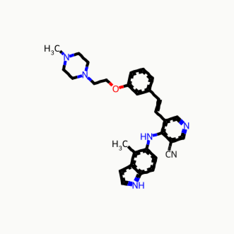 Cc1c(Nc2c(C#N)cncc2C=Cc2cccc(OCCN3CCN(C)CC3)c2)ccc2[nH]ccc12